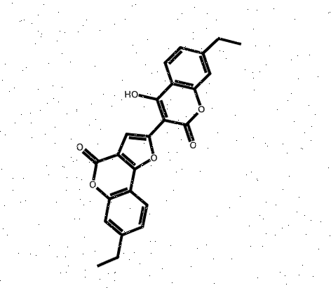 CCc1ccc2c(O)c(-c3cc4c(=O)oc5cc(CC)ccc5c4o3)c(=O)oc2c1